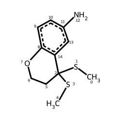 CSC1(SC)CCOc2ccc(N)cc21